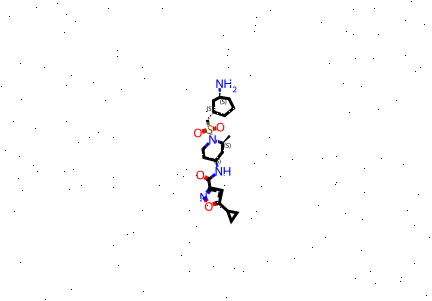 C[C@H]1C[C@@H](NC(=O)c2cc(C3CC3)on2)CCN1S(=O)(=O)C[C@H]1CCC[C@H](N)C1